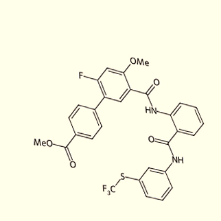 COC(=O)c1ccc(-c2cc(C(=O)Nc3ccccc3C(=O)Nc3cccc(SC(F)(F)F)c3)c(OC)cc2F)cc1